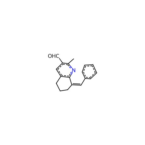 Cc1nc2c(cc1C=O)CCC/C2=C/c1ccccc1